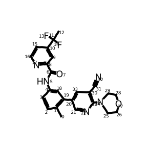 Cc1ccc(NC(=O)c2cc(C(C)(F)F)ccn2)cc1-c1cnc(N2CCOCC2)c(C#N)c1